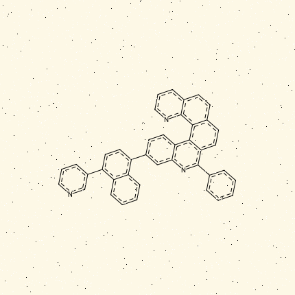 c1ccc(-c2nc3cc(-c4ccc(-c5cccnc5)c5ccccc45)ccc3c3c2ccc2ccc4cccnc4c23)cc1